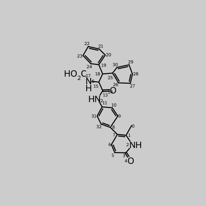 Cc1[nH]c(=O)ccc1-c1ccc(NC(=O)C(NC(=O)O)C(c2ccccc2)c2ccccc2)cc1